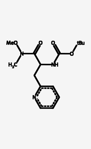 CON(C)C(=O)C(Cc1ccccn1)NC(=O)OC(C)(C)C